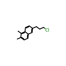 Cc1ccc2cc(CCCCl)ccc2c1C